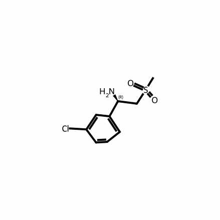 CS(=O)(=O)C[C@H](N)c1cccc(Cl)c1